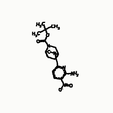 CC(C)(C)OC(=O)N1CC2CCC1CN2c1ccc([N+](=O)[O-])c(N)n1